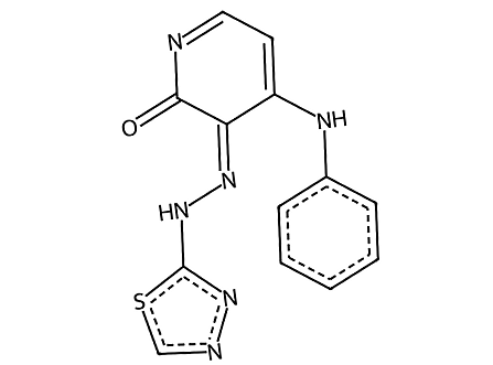 O=C1N=CC=C(Nc2ccccc2)C1=NNc1nncs1